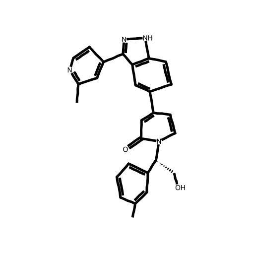 Cc1cccc([C@@H](CO)n2ccc(-c3ccc4[nH]nc(-c5ccnc(C)c5)c4c3)cc2=O)c1